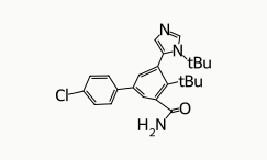 CC(C)(C)c1c(C(N)=O)cc(-c2ccc(Cl)cc2)cc1-c1cncn1C(C)(C)C